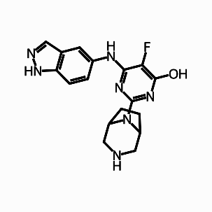 Oc1nc(N2C3CCC2CNC3)nc(Nc2ccc3[nH]ncc3c2)c1F